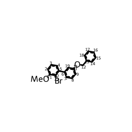 COc1cccc(-c2[c]ccc(OCc3ccccc3)c2)c1Br